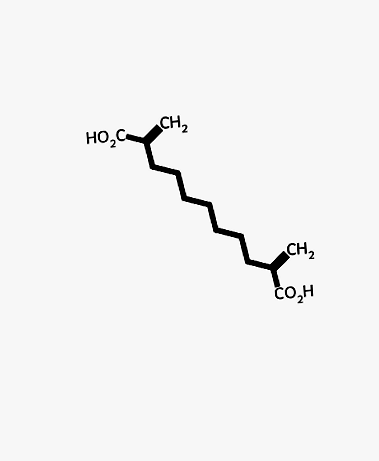 C=C(CCCCCCCC(=C)C(=O)O)C(=O)O